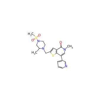 CC1CN(S(C)(=O)=O)CCN1Cc1cc2c(=O)n(C)cc(-c3cccnc3)c2s1